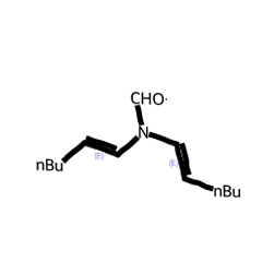 CCCC/C=C/N([C]=O)/C=C/CCCC